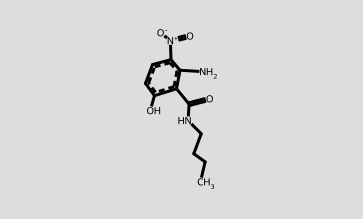 CCCCNC(=O)c1c(O)ccc([N+](=O)[O-])c1N